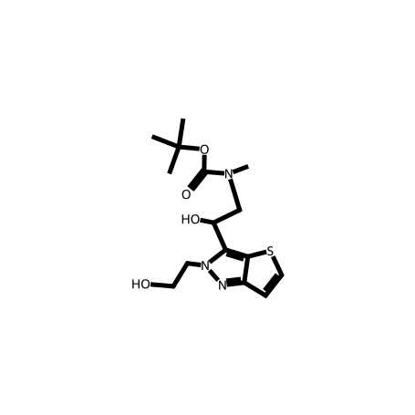 CN(CC(O)c1c2sccc2nn1CCO)C(=O)OC(C)(C)C